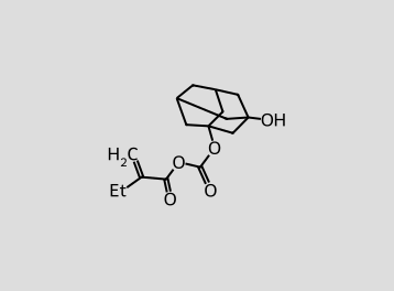 C=C(CC)C(=O)OC(=O)OC12CC3CC(CC(O)(C3)C1)C2